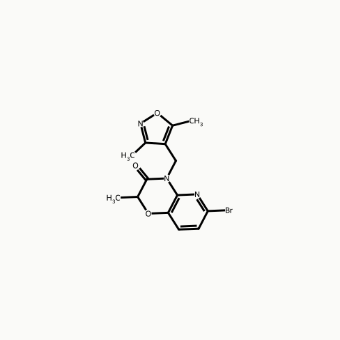 Cc1noc(C)c1CN1C(=O)C(C)Oc2ccc(Br)nc21